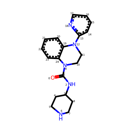 O=C(NC1CCNCC1)N1CCN(c2ccccn2)c2ccccc21